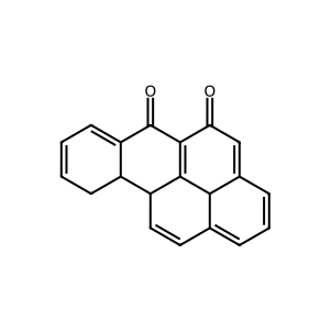 O=C1C=C2C=CC=C3C=CC4C(=C1C(=O)C1=CC=CCC14)C32